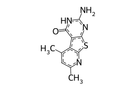 Cc1cc(C)c2c(n1)sc1nc(N)[nH]c(=O)c12